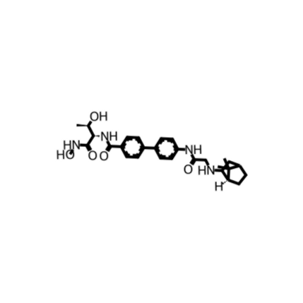 C[C@@H](O)[C@H](NC(=O)c1ccc(-c2ccc(NC(=O)CNC3CC4CC[C@@H]3C4(C)C)cc2)cc1)C(=O)NO